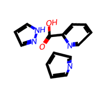 O=C(O)c1ccccn1.c1ccncc1.c1cn[nH]c1